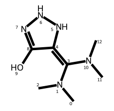 CN(C)C(=C1NNN=C1O)N(C)C